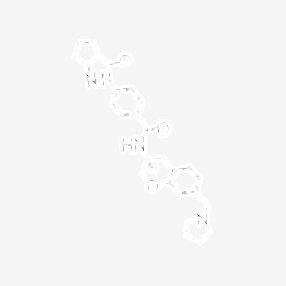 O=C(N[C@H]1COc2cc(CN3CCCC3)ccc2C1)c1ccc(N2N=C3CCCC3C2=O)cc1